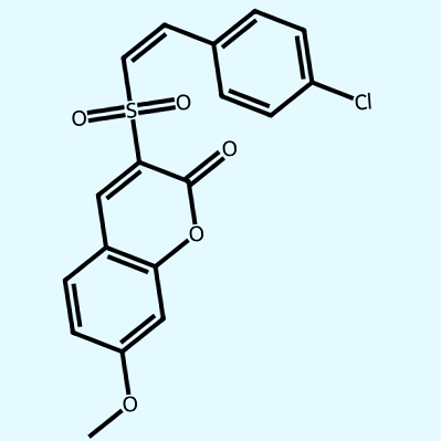 COc1ccc2cc(S(=O)(=O)/C=C\c3ccc(Cl)cc3)c(=O)oc2c1